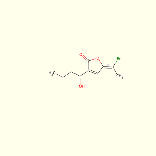 CCCC(O)C1=C/C(=C(\C)Br)OC1=O